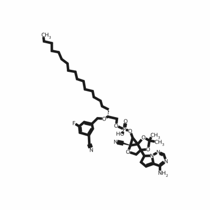 CCCCCCCCCCCCCCCCC[C@H](COP(=O)(O)OC1C23OC(C)(C)OC2(C2CC=C4C(N)=NC=NN42)CO[C@]13C#N)OCc1cc(F)cc(C#N)c1